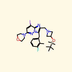 Cc1c(F)cccc1Cc1c(CN2CC(O[Si](C)(C)C(C)(C)C)C2)nc2c(I)cc(N3CCOCC3)nn12